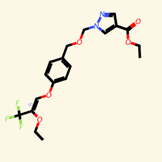 CCOC(=O)c1cnn(COCc2ccc(O/C=C(\OCC)C(F)(F)F)cc2)c1